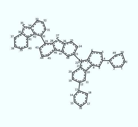 c1ccc(-c2ccc3c(c2)c2cc(-c4ccccc4)ccc2n3-c2ccc3sc4c(-c5cccc6sc7ccccc7c56)cccc4c3c2)cc1